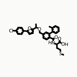 CSCCC(NC(=O)c1ccc(COC(C)c2ccc(-c3ccc(Cl)cc3)o2)cc1-c1ccccc1C)C(=O)O